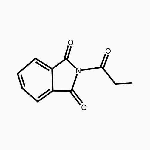 CCC(=O)N1C(=O)c2ccccc2C1=O